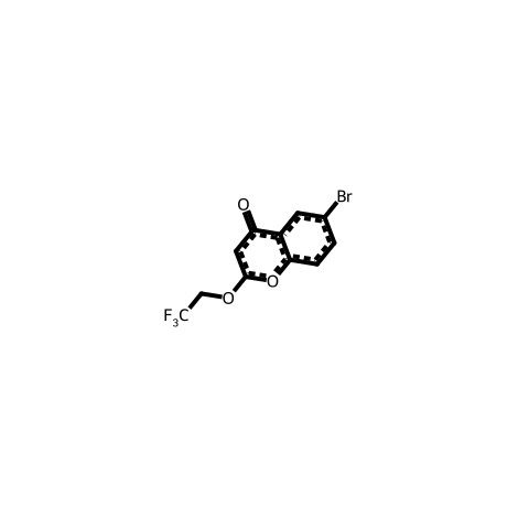 O=c1cc(OCC(F)(F)F)oc2ccc(Br)cc12